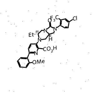 CC[C@@H]1CN2C(=O)N(c3ccc(Cl)cc3C(F)(F)F)C[C@@H]2CN1c1ccc(-c2ccccc2OC)nc1C(=O)O